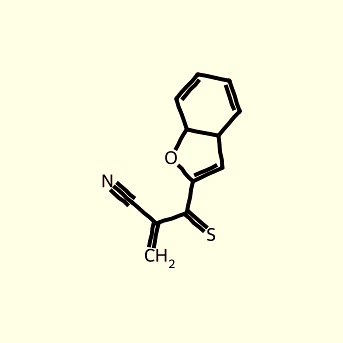 C=C(C#N)C(=S)C1=CC2C=CC=CC2O1